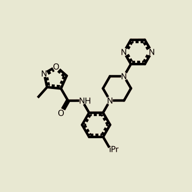 Cc1nocc1C(=O)Nc1ccc(C(C)C)cc1N1CCN(c2cnccn2)CC1